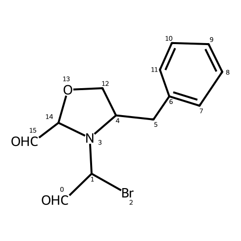 O=CC(Br)N1C(Cc2ccccc2)COC1C=O